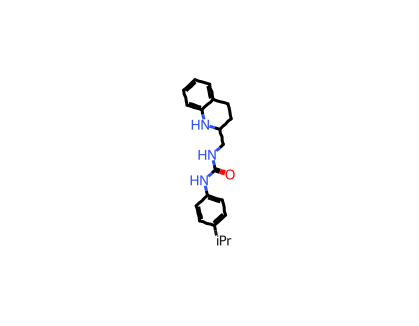 CC(C)c1ccc(NC(=O)NCC2CCc3ccccc3N2)cc1